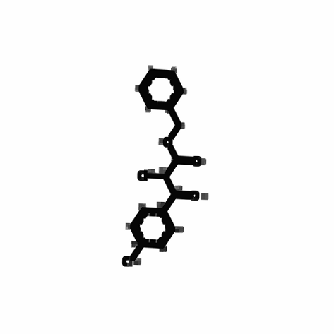 O=C(OCc1ccccc1)C(Cl)C(=O)c1ccc(Cl)cc1